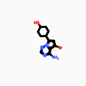 Nc1ncnn2c(C3CCC(O)CC3)cc(Br)c12